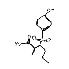 CCCC(C(C)C(=O)O)S(=O)(=O)c1ccc(OC)cc1